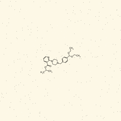 CCOC(OCC)c1ccc(CN2CCN(c3ncccc3C(=O)OC(C)C)CC2)cc1